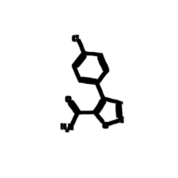 NC(=O)c1on[c]c1-c1ccc(Cl)cc1